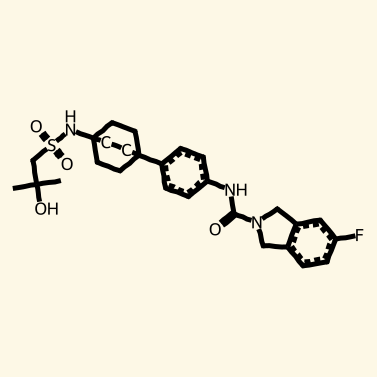 CC(C)(O)CS(=O)(=O)NC12CCC(c3ccc(NC(=O)N4Cc5ccc(F)cc5C4)cc3)(CC1)CC2